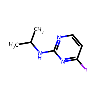 CC(C)Nc1nccc(I)n1